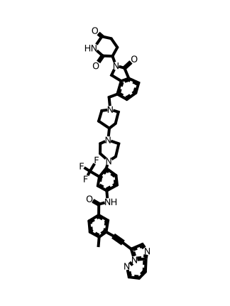 Cc1ccc(C(=O)Nc2ccc(N3CCN(C4CCN(Cc5cccc6c5CN(C5CCC(=O)NC5=O)C6=O)CC4)CC3)c(C(F)(F)F)c2)cc1C#Cc1cnc2cccnn12